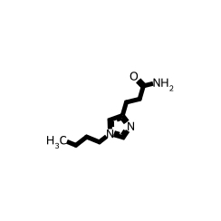 CCCCn1cnc(CCC(N)=O)c1